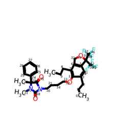 CCCc1cc2c(c(CCC)c1OCCCCN1C(=O)N(C)C(C)(c3ccccc3)C1=O)COC2(C(F)(F)F)C(F)(F)F